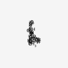 Cc1nc(C(F)(F)F)ncc1C(=O)Nc1cc(-n2cc(C(=O)NCCCN3CCOCC3)nn2)ccc1N1CCN(C)CC1